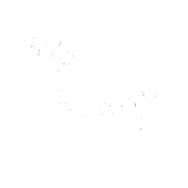 CC(C)(O)COc1cc2nc([C@H]3CC[C@H](CN4CCC(CCNc5cccc6c5C(=O)N(C5CCC(=O)NC5=O)C6=O)CC4)CC3)oc2cc1NC(=O)c1cccc(C(F)(F)F)n1